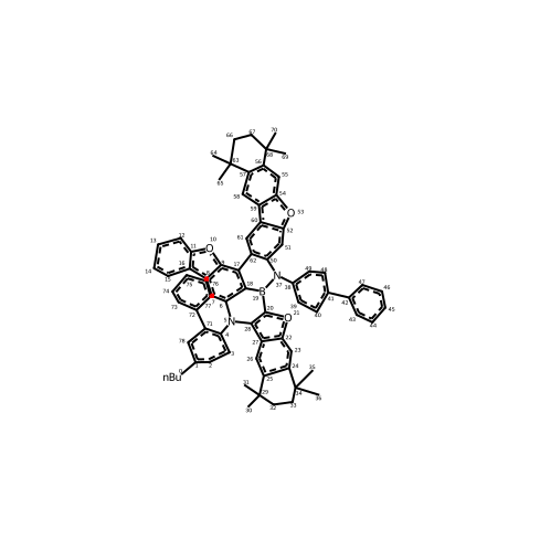 CCCCc1ccc(N2c3cc4c(oc5ccccc54)c4c3B(c3oc5cc6c(cc5c32)C(C)(C)CCC6(C)C)N(c2ccc(-c3ccccc3)cc2)c2cc3oc5cc6c(cc5c3cc2-4)C(C)(C)CCC6(C)C)c(-c2ccccc2)c1